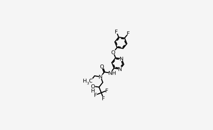 CCN(CC(O)C(F)(F)F)C(=O)Nc1cc(Oc2ccc(F)c(F)c2)ncn1